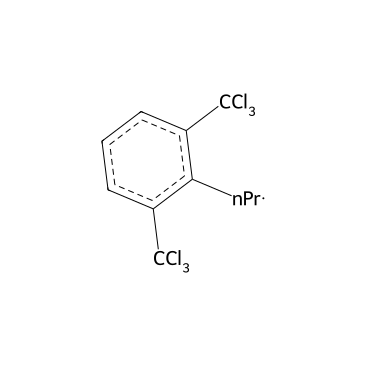 CC[CH]c1c(C(Cl)(Cl)Cl)cccc1C(Cl)(Cl)Cl